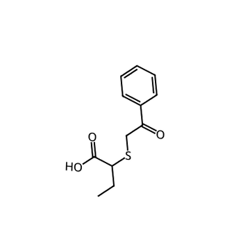 CCC(SCC(=O)c1ccccc1)C(=O)O